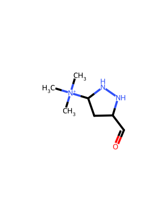 C[N+](C)(C)C1CC(C=O)NN1